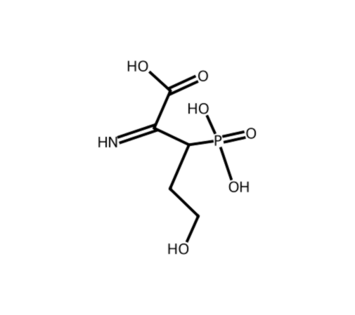 N=C(C(=O)O)C(CCO)P(=O)(O)O